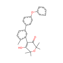 Cc1ccc(-c2ccc(Oc3ccccc3)cc2)cc1C1=C(O)C(C)(C)OC(C)(C)C1=O